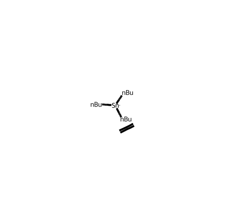 C=C.CCC[CH2][Sn]([CH2]CCC)[CH2]CCC